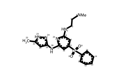 CNCCNc1cc(S(=O)(=O)c2ccccc2)cc(Nc2cc(C)[nH]n2)n1